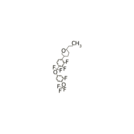 CCCC1CCC(c2ccc(C(F)(F)Oc3ccc(OC(F)(F)F)c(F)c3)c(F)c2F)CO1